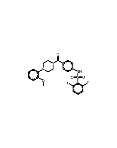 COc1ccccc1N1CCN(C(=O)c2ccc(NS(=O)(=O)c3c(F)cccc3F)cc2)CC1